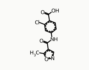 Cc1oncc1C(=O)Nc1ccc(C(=O)O)c(Cl)c1